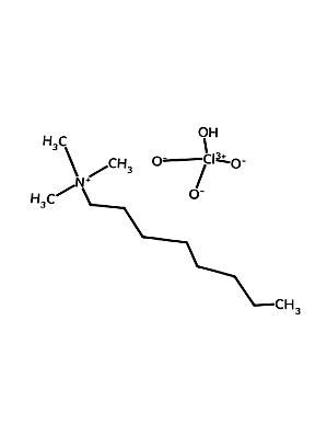 CCCCCCCC[N+](C)(C)C.[O-][Cl+3]([O-])([O-])O